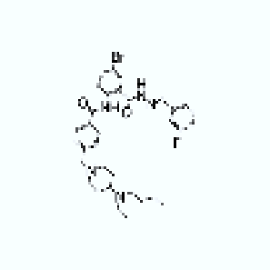 CCCCN(CC)C1CCN(Cc2ccc(C(=O)Nc3ccc(Br)cc3C(=O)N/N=C/c3cccc(F)c3)cc2)CC1